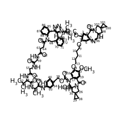 COc1cc2c(cc1OCCCCCOc1cc3c(cc1OC)C(=O)N1CC4(CC4)C[C@H]1[C@H](O)N3C(=O)OCc1ccc(NC(=O)[C@H](C)NC(=O)[C@@H](NC(=O)CNC(=O)CNC(=O)CCC(=O)N3Cc4ccccc4-c4c(nnn4C(C)(C)C)-c4ccccc43)C(C)C)cc1)N=C[C@@H]1CC3(CC3)CN1C2=O